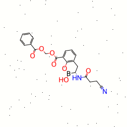 N#CCCC(=O)N[C@H]1Cc2cccc(C(=O)OCOC(=O)c3ccccc3)c2OB1O